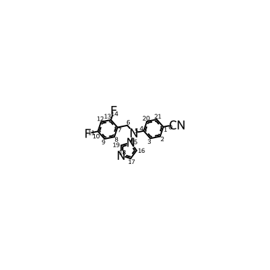 N#Cc1ccc(N(Cc2ccc(F)cc2F)n2ccnc2)cc1